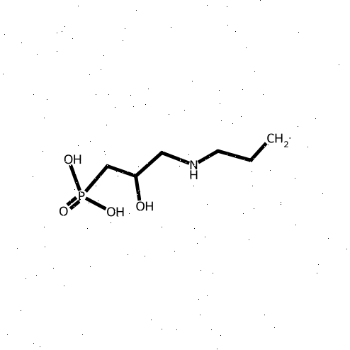 [CH2]CCNCC(O)CP(=O)(O)O